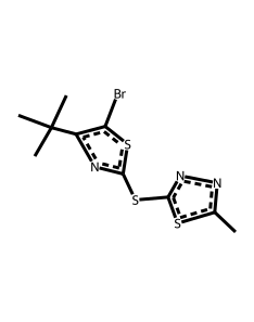 Cc1nnc(Sc2nc(C(C)(C)C)c(Br)s2)s1